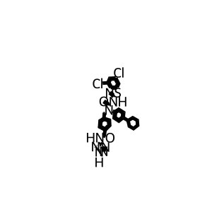 O=C(Nc1nn[nH]n1)c1ccc(CN(C(=O)Nc2nc3c(Cl)cc(Cl)cc3s2)c2ccc(C3CCCCC3)cc2)cc1